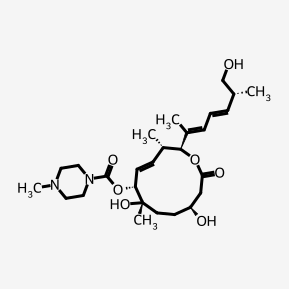 C/C(=C\C=C\[C@@H](C)CO)[C@H]1OC(=O)C[C@@H](O)CC[C@](C)(O)[C@H](OC(=O)N2CCN(C)CC2)/C=C/[C@@H]1C